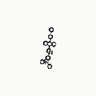 c1ccc(-c2ccc(-c3c4ccccc4c(-c4ccc(-c5ccc6c(c5)c5ccccc5n6-c5ccccc5)nc4)c4ccccc34)cc2)cc1